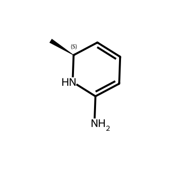 C[C@H]1C=CC=C(N)N1